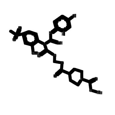 COc1cc(S(C)(=O)=O)ccc1N(C(=N)/N=c1/ccc(Cl)c[nH]1)C(=O)OCOC(=O)C1CCN(C(=O)OC(C)(C)C)CC1